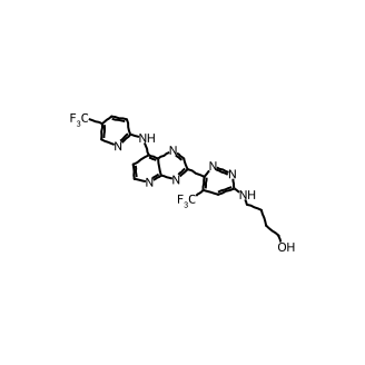 OCCCCNc1cc(C(F)(F)F)c(-c2cnc3c(Nc4ccc(C(F)(F)F)cn4)ccnc3n2)nn1